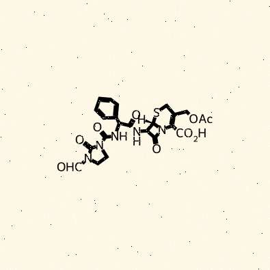 CC(=O)OCC1=C(C(=O)O)N2C(=O)C(NC(=O)C(NC(=O)N3CCN(C=O)C3=O)c3ccccc3)[C@@H]2SC1